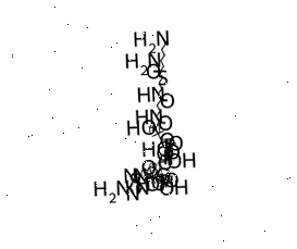 CC(C)(COP(=O)(O)OP(=O)(O)OC[C@H]1O[C@H](n2cnc3c(N)ncnc32)[C@H](O)[C@@H]1OP(=O)(O)O)[C@@H](O)C(=O)NCCC(=O)NCCSC(=O)CC(N)CCCN